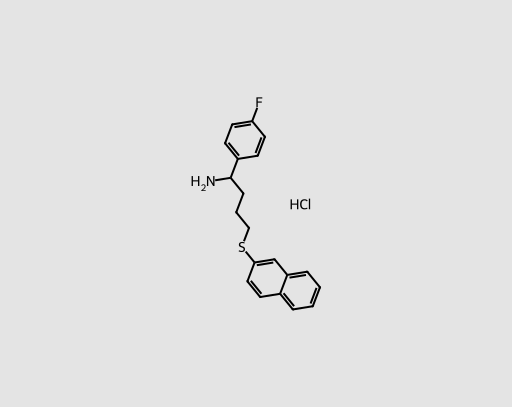 Cl.NC(CCCSc1ccc2ccccc2c1)c1ccc(F)cc1